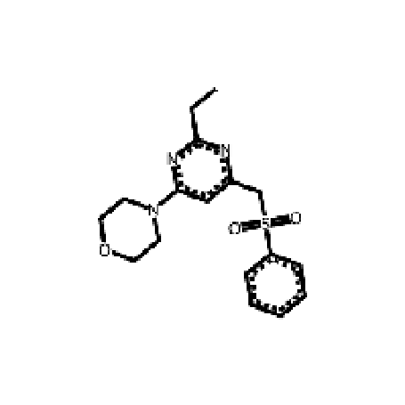 CCc1nc(CS(=O)(=O)c2ccccc2)cc(N2CCOCC2)n1